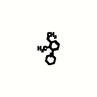 C=Cc1cccc(N2CCCCC2)c1C